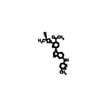 CC(=O)c1ccc(-n2cnc3cc(Nc4ccc(C)nn4)ccc32)nc1N1CC(C)(C#N)C1